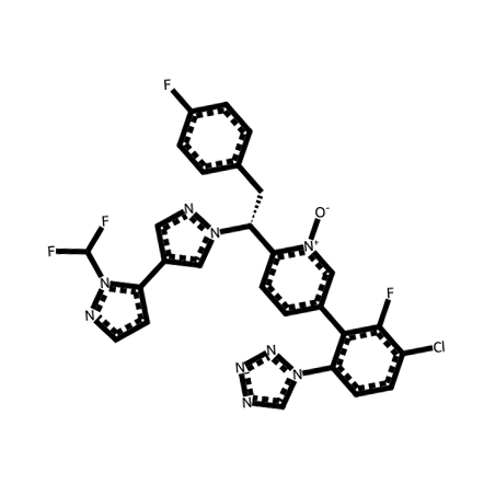 [O-][n+]1cc(-c2c(-n3cnnn3)ccc(Cl)c2F)ccc1[C@@H](Cc1ccc(F)cc1)n1cc(-c2ccnn2C(F)F)cn1